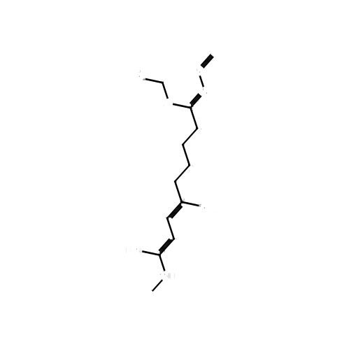 C=N/N=C(/CCCC/C(N)=C/C=C(\N)NC)SCN